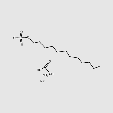 CCCCCCCCCCCCOS(=O)(=O)[O-].N.O=C(O)O.[Na+]